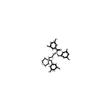 Cc1cc(C)cc(CN(CCC[N+]2(Cc3cc(C)cc(C)c3)CCOCC2)C(=O)c2cc(C)cc(C)c2)c1